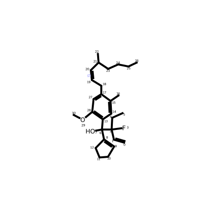 C=CC(F)(CC)C(O)(C1=CCCC1)c1cc(C)c(C/C=C\C(C)CCCC)cc1OC